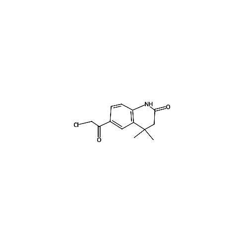 CC1(C)CC(=O)Nc2ccc(C(=O)CCl)cc21